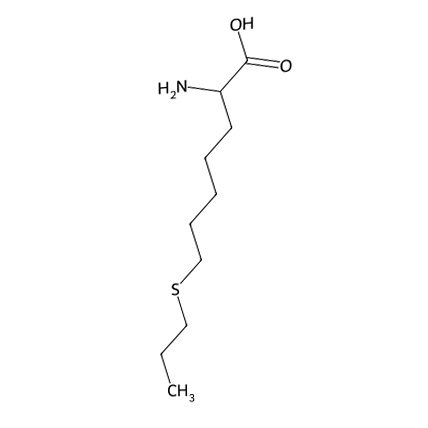 CCCSCCCCCC(N)C(=O)O